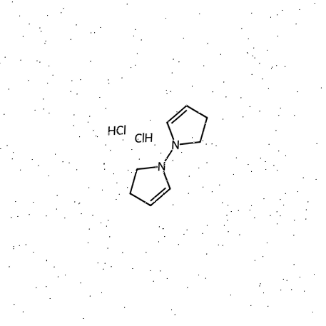 C1=CN(N2C=CCC2)CC1.Cl.Cl